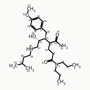 CCCN(CCC)C(=O)CCC(C(N)=O)[C@H](Cc1ccc(OC)cc1)[C@@H](O)CNCCC(C)C